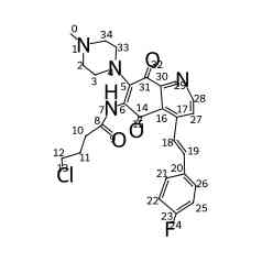 CN1CCN(C2=C(NC(=O)CCCCl)C(=O)c3c(/C=C/c4ccc(F)cc4)ccnc3C2=O)CC1